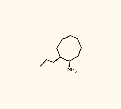 CCCC1CCCCCC[C@H]1N